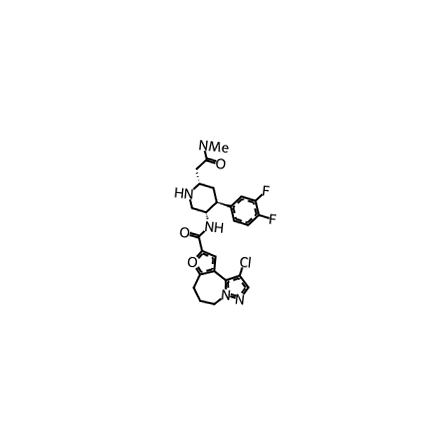 CNC(=O)C[C@@H]1C[C@@H](c2ccc(F)c(F)c2)[C@H](NC(=O)c2cc3c(o2)CCCn2ncc(Cl)c2-3)CN1